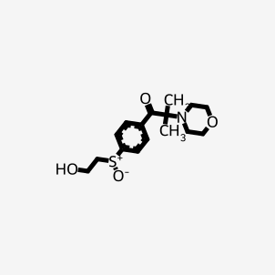 CC(C)(C(=O)c1ccc([S+]([O-])CCO)cc1)N1CCOCC1